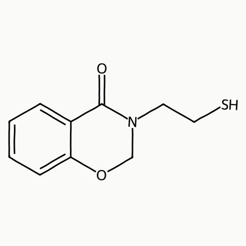 O=C1c2ccccc2OCN1CCS